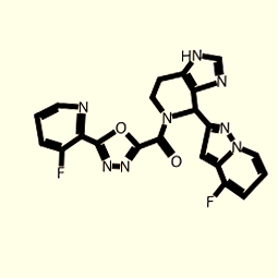 O=C(c1nnc(-c2ncccc2F)o1)N1CCc2[nH]cnc2C1c1cc2c(F)cccn2n1